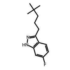 CC(C)(C)CCCc1n[nH]c2cc(F)ccc12